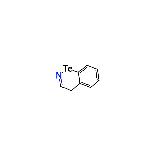 C1=N[Te]c2ccccc2C1